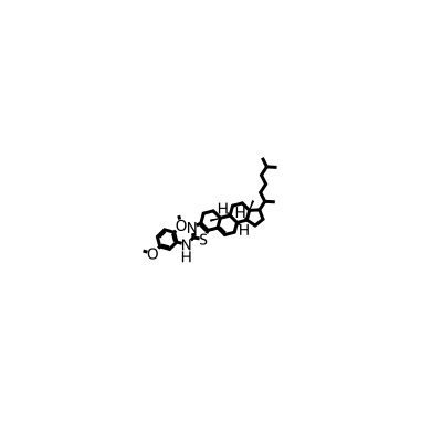 COc1ccc(OC)c(Nc2nc3c(s2)C2=CC[C@@H]4[C@H](CC[C@]5(C)C(C(C)CCCC(C)C)CC[C@@H]45)[C@@]2(C)CC3)c1